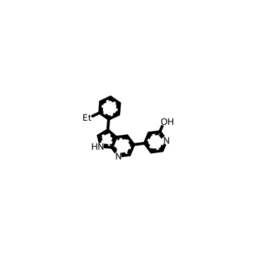 CCc1ccccc1-c1c[nH]c2ncc(-c3ccnc(O)c3)cc12